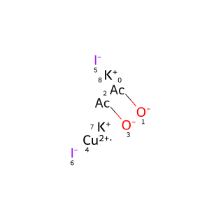 CC(=O)[O-].CC(=O)[O-].[Cu+2].[I-].[I-].[K+].[K+]